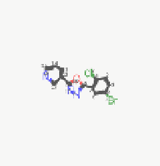 Clc1ccc(Br)cc1-c1nnc(-c2cccnc2)o1